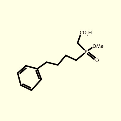 COP(=O)(CCCCc1ccccc1)CC(=O)O